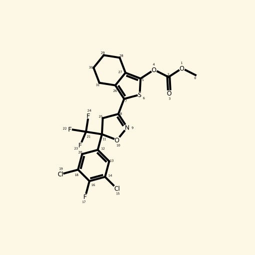 COC(=O)Oc1sc(C2=NOC(c3cc(Cl)c(F)c(Cl)c3)(C(F)(F)F)C2)c2c1CCCC2